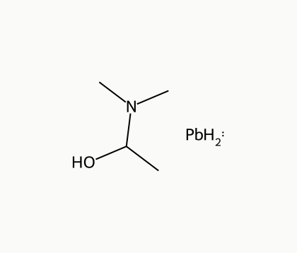 CC(O)N(C)C.[PbH2]